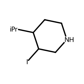 CC(C)C1CCNCC1I